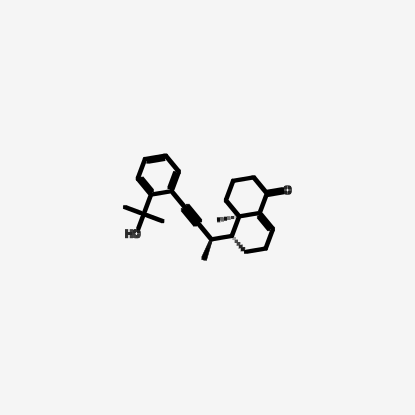 C[C@@H](C#Cc1ccccc1C(C)(C)O)[C@H]1CCC=C2C(=O)CCC[C@@]21C